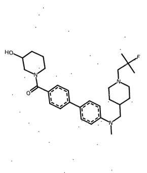 CN(CC1CCN(CC(C)(C)F)CC1)c1ccc(-c2ccc(C(=O)N3CCCC(O)C3)cc2)cc1